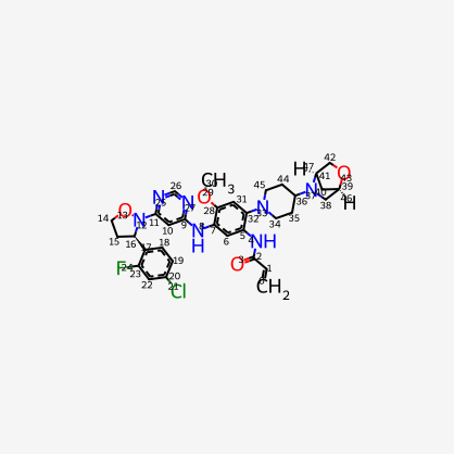 C=CC(=O)Nc1cc(Nc2cc(N3OCC[C@@H]3c3ccc(Cl)cc3F)ncn2)c(OC)cc1N1CCC(N2C[C@H]3C[C@@H]2CO3)CC1